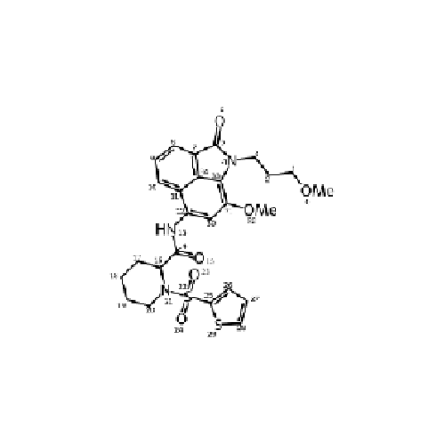 COCCCN1C(=O)c2cccc3c(NC(=O)C4CCCCN4S(=O)(=O)c4cccs4)cc(OC)c1c23